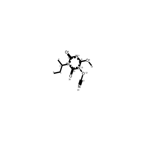 CCC(C)n1c(=O)nc(OC)n(OC#N)c1=O